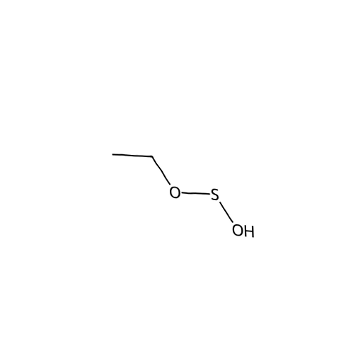 CCOSO